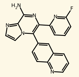 Nc1nc(-c2cccc(F)n2)c(-c2ccc3ncccc3c2)n2ccnc12